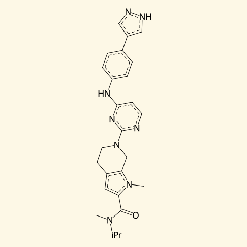 CC(C)N(C)C(=O)c1cc2c(n1C)CN(c1nccc(Nc3ccc(-c4cn[nH]c4)cc3)n1)CC2